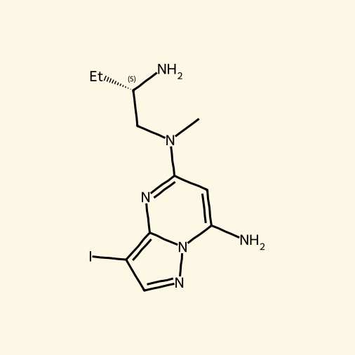 CC[C@H](N)CN(C)c1cc(N)n2ncc(I)c2n1